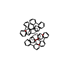 O=C(c1ccccc1-c1ccccc1)c1cccc[c]1[Sn]([c]1ccccc1C(=O)c1ccccc1-c1ccccc1)([c]1ccccc1C(=O)c1ccccc1-c1ccccc1)[c]1ccccc1C(=O)c1ccccc1-c1ccccc1